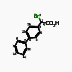 O=C(O)C(Br)c1ccc(-c2ccccc2)cc1